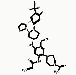 C=CC(=O)Nc1cc(N[C@@H]2CCN[C@H](N3OCC[C@@H]3c3ccc(F)c(C(F)(F)F)c3)C2)c(OC)cc1N1CCN(C(C)=O)CC1